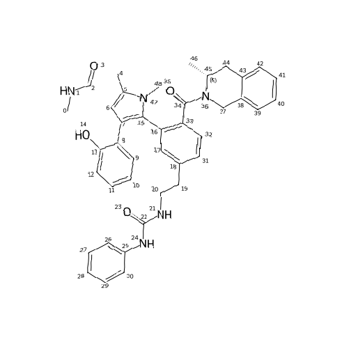 CNC=O.Cc1cc(-c2ccccc2O)c(-c2cc(CCNC(=O)Nc3ccccc3)ccc2C(=O)N2Cc3ccccc3C[C@H]2C)n1C